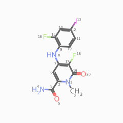 Cn1c(C(N)=O)[c]c(Nc2ccc(I)cc2F)c(F)c1=O